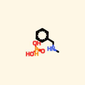 CNCc1ccccc1.O=[PH](O)O